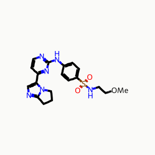 COCCNS(=O)(=O)c1ccc(Nc2nccc(-c3cnc4n3CCC4)n2)cc1